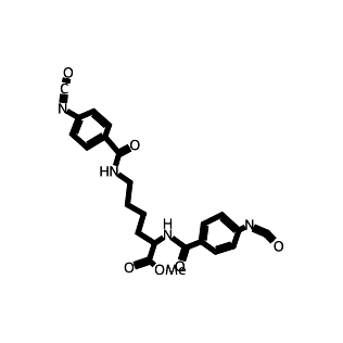 COC(=O)C(CCCCNC(=O)c1ccc(N=C=O)cc1)NC(=O)c1ccc(N=C=O)cc1